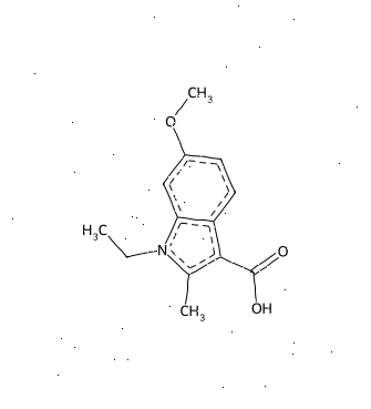 CCn1c(C)c(C(=O)O)c2ccc(OC)cc21